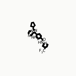 Nc1nccn2c(C3CCCC3)nc(-c3ccc(C(=O)Nc4cc(C(F)(F)F)ccn4)cc3)c12